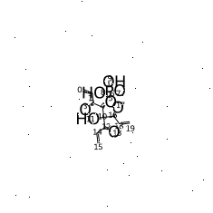 C=CC(=O)C(OP(=O)(O)O)C(O)(C(=O)C=C)C(=O)C=C